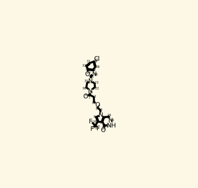 O=C(CCOCCn1cc(C(F)(F)F)c2c(=O)[nH]ncc21)N1CCN(c2nc3cc(Cl)ccc3o2)CC1